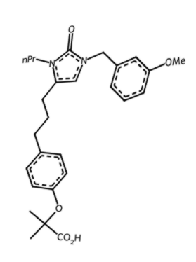 CCCn1c(CCCc2ccc(OC(C)(C)C(=O)O)cc2)cn(Cc2cccc(OC)c2)c1=O